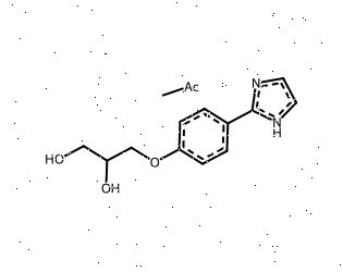 CC(C)=O.OCC(O)COc1ccc(-c2ncc[nH]2)cc1